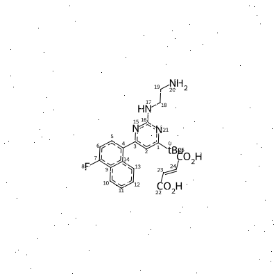 CC(C)(C)c1cc(-c2ccc(F)c3ccccc23)nc(NCCN)n1.O=C(O)C=CC(=O)O